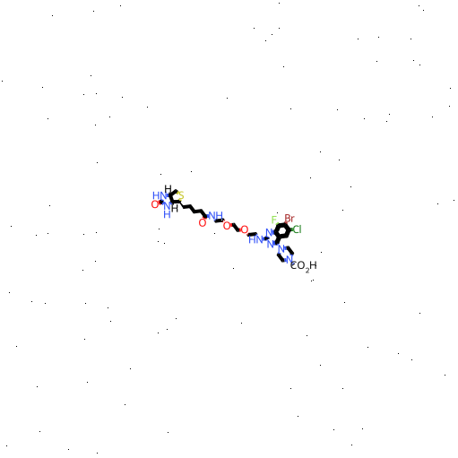 O=C(CCCC[C@@H]1SC[C@@H]2NC(=O)N[C@@H]21)NCCOCCOCCNc1nc(N2CCN(C(=O)O)CC2)c2cc(Cl)c(Br)c(F)c2n1